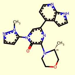 C[C@@H]1COCCN1c1nc(-c2ccnc3[nH]ccc23)cn(-c2ccnn2C)c1=O